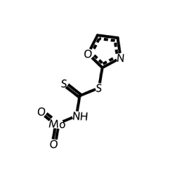 [O]=[Mo](=[O])[NH]C(=S)Sc1ncco1